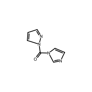 O=C(n1ccnc1)n1cccn1